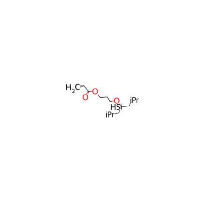 C=CC(=O)OCCCO[SiH](CC(C)C)CC(C)C